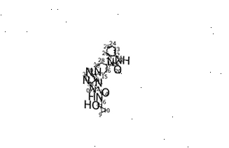 Cn1c(C(=O)NCC2(O)CC2)nc2c(N3CCC(n4c(=O)[nH]c5ccccc54)CC3)ncnc21